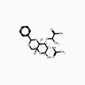 CC(=O)N[C@H]1[C@@H](OC(C)C(=O)O)[C@@H]2OC(c3ccccc3)OC[C@H]2O[C@@H]1O